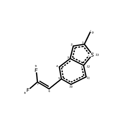 [CH2]c1cc2cc(C=C(F)F)ccc2s1